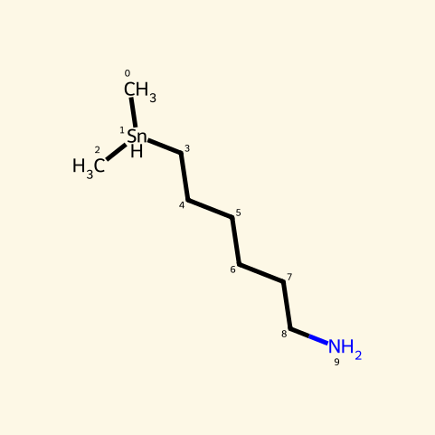 [CH3][SnH]([CH3])[CH2]CCCCCN